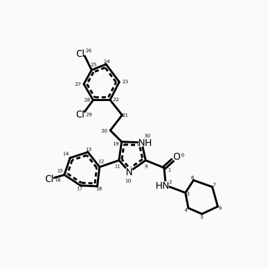 O=C(NC1CCCCC1)c1nc(-c2ccc(Cl)cc2)c(CCc2ccc(Cl)cc2Cl)[nH]1